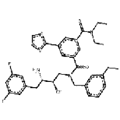 CCc1cccc(CN(C[C@@H](O)[C@@H](N)Cc2cc(F)cc(F)c2)C(=O)c2cc(C(=O)N(CC)CC)cc(-c3ncco3)c2)c1